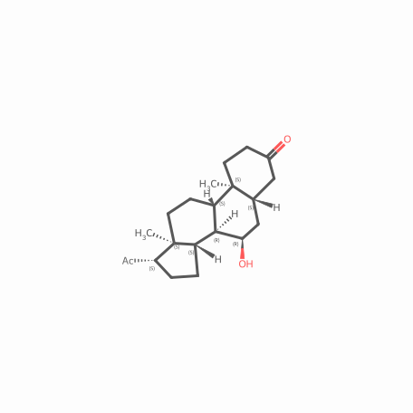 CC(=O)[C@H]1CC[C@H]2[C@@H]3[C@H](O)C[C@H]4CC(=O)CC[C@]4(C)[C@H]3CC[C@]12C